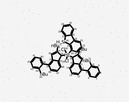 CCCCC1=Cc2c(-c3ccccc3CCCC)cccc2[CH]1[Hf]([Cl])([Cl])([c]1cccc2c1[SiH2]c1ccccc1-2)[CH]1C(CCCC)=Cc2c(-c3ccccc3CCCC)cccc21